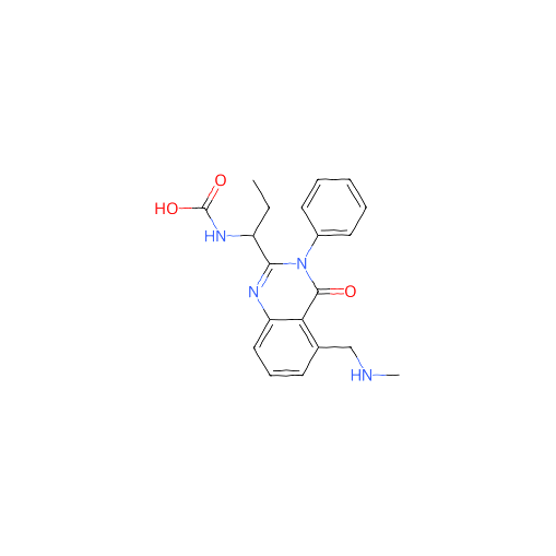 CCC(NC(=O)O)c1nc2cccc(CNC)c2c(=O)n1-c1ccccc1